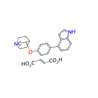 O=C(O)/C=C/C(=O)O.c1cc(-c2ccc(OC3CN4CCC3CC4)cc2)c2cc[nH]c2c1